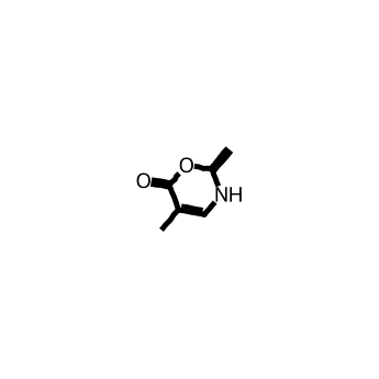 C=C1NC=C(C)C(=O)O1